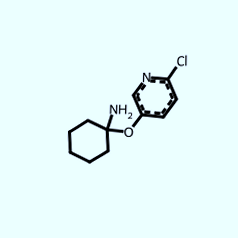 NC1(Oc2ccc(Cl)nc2)CCCCC1